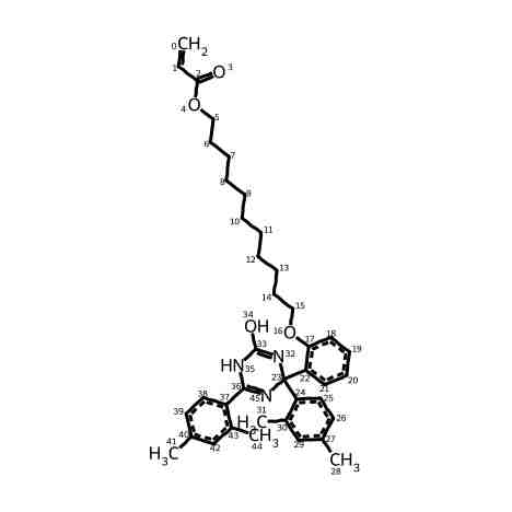 C=CC(=O)OCCCCCCCCCCCOc1ccccc1C1(c2ccc(C)cc2C)N=C(O)NC(c2ccc(C)cc2C)=N1